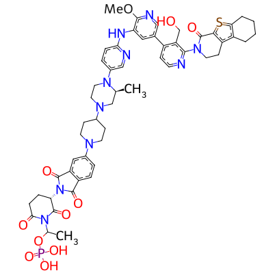 COc1ncc(-c2ccnc(N3CCc4c(sc5c4CCCC5)C3=O)c2CO)cc1Nc1ccc(N2CCN(C3CCN(c4ccc5c(c4)C(=O)N([C@H]4CCC(=O)N(C(C)OP(=O)(O)O)C4=O)C5=O)CC3)C[C@@H]2C)cn1